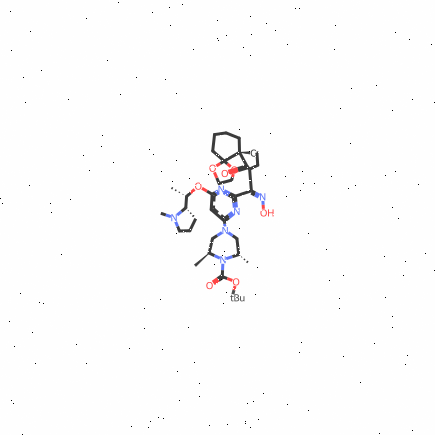 C[C@H](Oc1cc(N2C[C@H](C)N(C(=O)OC(C)(C)C)[C@@H](C)C2)nc(/C(=N\O)C2CCC[C@@]3(CCCCC34OCCO4)C2=O)n1)[C@@H]1CCCN1C